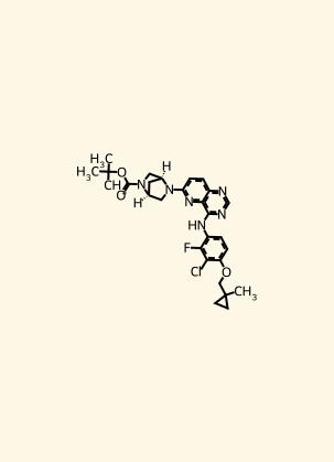 CC1(COc2ccc(Nc3ncnc4ccc(N5C[C@@H]6C[C@H]5CN6C(=O)OC(C)(C)C)nc34)c(F)c2Cl)CC1